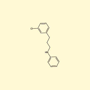 Clc1cccc(CCCNc2cc[c]cc2)c1